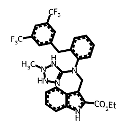 CCOC(=O)c1[nH]c2ccccc2c1CN(C1=NNN(C)N1)c1ccccc1Cc1cc(C(F)(F)F)cc(C(F)(F)F)c1